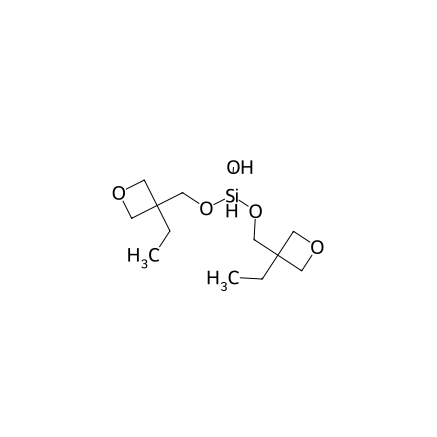 CCC1(CO[SiH](O)OCC2(CC)COC2)COC1